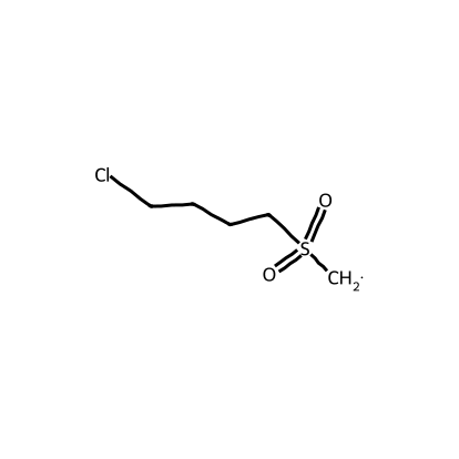 [CH2]S(=O)(=O)CCCCCl